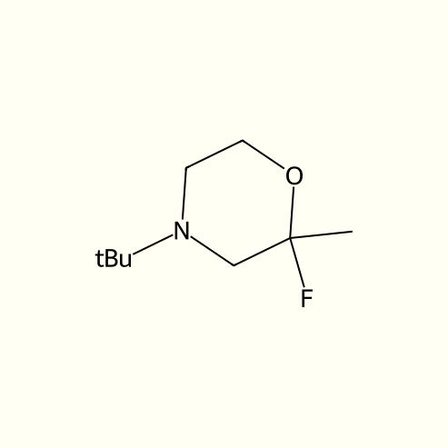 CC1(F)CN(C(C)(C)C)CCO1